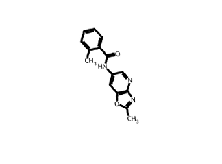 Cc1nc2ncc(NC(=O)c3ccccc3C)cc2o1